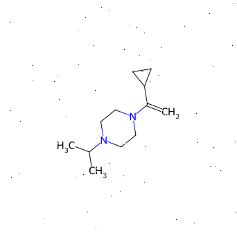 C=C(C1CC1)N1CCN(C(C)C)CC1